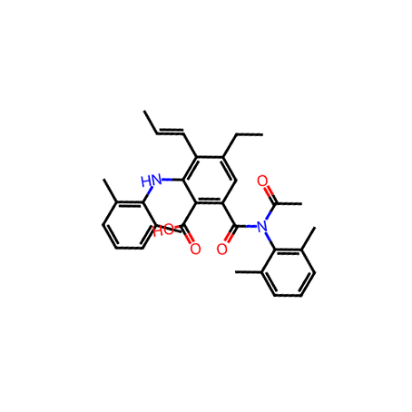 CC=Cc1c(CC)cc(C(=O)N(C(C)=O)c2c(C)cccc2C)c(C(=O)O)c1Nc1c(C)cccc1C